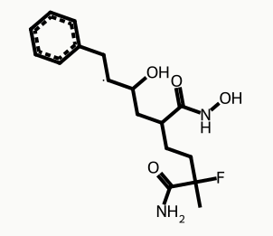 CC(F)(CCC(CC(O)[CH]Cc1ccccc1)C(=O)NO)C(N)=O